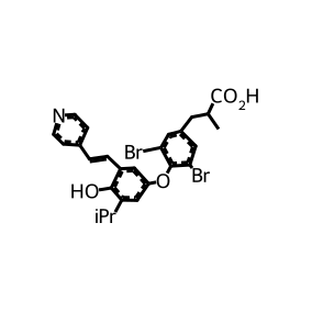 CC(Cc1cc(Br)c(Oc2cc(C=Cc3ccncc3)c(O)c(C(C)C)c2)c(Br)c1)C(=O)O